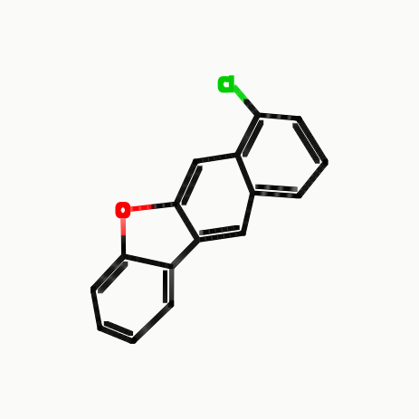 Clc1cccc2cc3c(cc12)oc1ccccc13